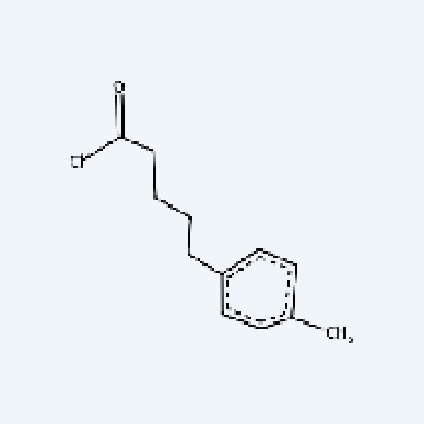 Cc1ccc(CCCCC(=O)Cl)cc1